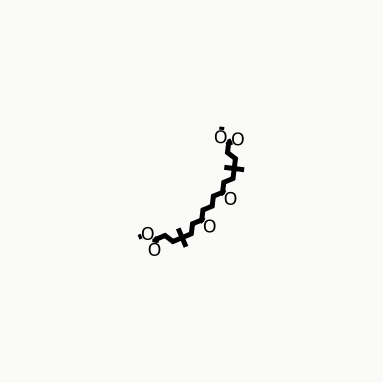 COC(=O)CCC(C)(C)CCC(=O)CCCC(=O)CCC(C)(C)CCC(=O)OC